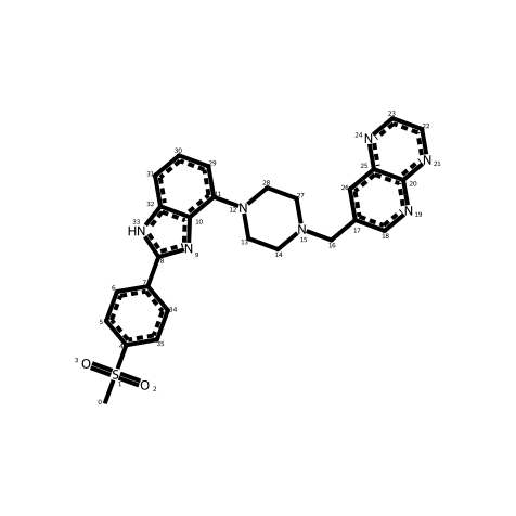 CS(=O)(=O)c1ccc(-c2nc3c(N4CCN(Cc5cnc6nccnc6c5)CC4)cccc3[nH]2)cc1